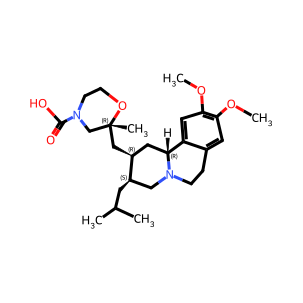 COc1cc2c(cc1OC)[C@H]1C[C@H](C[C@]3(C)CN(C(=O)O)CCO3)[C@H](CC(C)C)CN1CC2